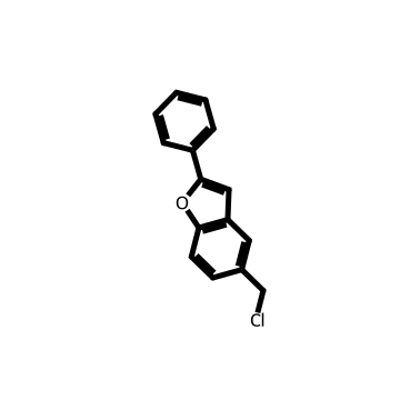 ClCc1ccc2oc(-c3ccccc3)cc2c1